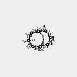 Cc1cc2c(O)c(c1)C(=O)Nc1cc(c(C)cc1C)NC(=O)c1cc(C)cc3c1SSSSSSSSSSc1c(cc(C)cc1C(=O)Nc1cc(c(C)cc1C)NC(=O)c1cc(C)cc(c1O)C(=O)Nc1cc(c(C)cc1C)NC3=O)C(=O)Nc1cc(c(C)cc1C)NC2=O